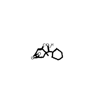 CC(C1CCCCC1)C1(C)CC23OC2(C=C1C(=O)O)O3